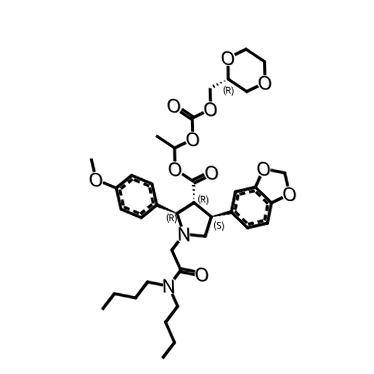 CCCCN(CCCC)C(=O)CN1C[C@H](c2ccc3c(c2)OCO3)[C@@H](C(=O)OC(C)OC(=O)OC[C@H]2COCCO2)[C@@H]1c1ccc(OC)cc1